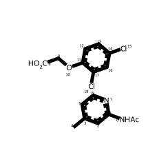 CC(=O)Nc1cc(C)ccn1.O=C(O)COc1ccc(Cl)cc1Cl